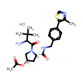 CC(=O)O[C@@H]1C[C@@H](C(=O)NCc2ccc(-c3scnc3C)cc2)N(C(=O)C(N)C(C)(C)C)C1.Cl